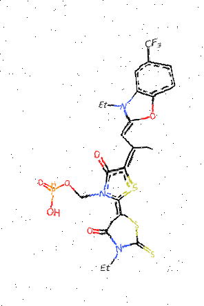 CCN1C(=O)/C(=c2/s/c(=C(C)/C=C3\Oc4ccc(C(F)(F)F)cc4N3CC)c(=O)n2CO[PH](=O)O)SC1=S